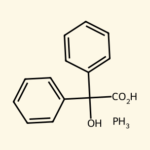 O=C(O)C(O)(c1ccccc1)c1ccccc1.P